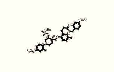 COc1ccc(CN2C(=O)CCc3c(OC[C@]4(O)CCN(c5ccc(OC(F)(F)F)cc5F)C[C@H]4O[Si](C)(C)C(C)(C)C)ccc(F)c32)cc1